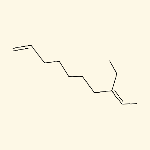 C=CCCCCC/C(=C/C)CC